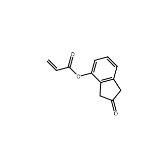 C=CC(=O)Oc1cccc2c1CC(=O)C2